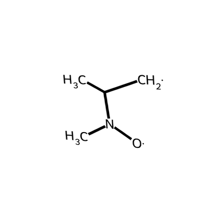 [CH2]C(C)N(C)[O]